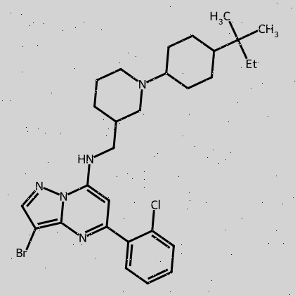 CCC(C)(C)C1CCC(N2CCCC(CNc3cc(-c4ccccc4Cl)nc4c(Br)cnn34)C2)CC1